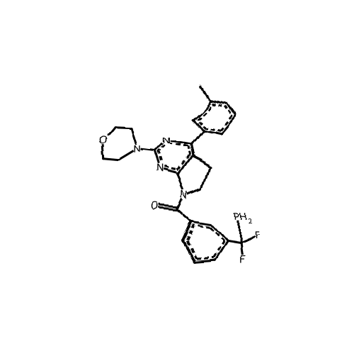 Cc1cccc(-c2nc(N3CCOCC3)nc3c2CCN3C(=O)c2cccc(C(F)(F)P)c2)c1